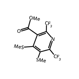 COC(=O)c1c(C(F)(F)F)nc(C(F)(F)F)c(SC)c1SC